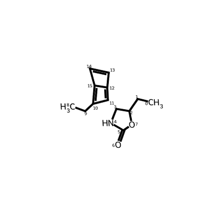 CCC1CNC(=O)O1.CCc1cc2ccc1-2